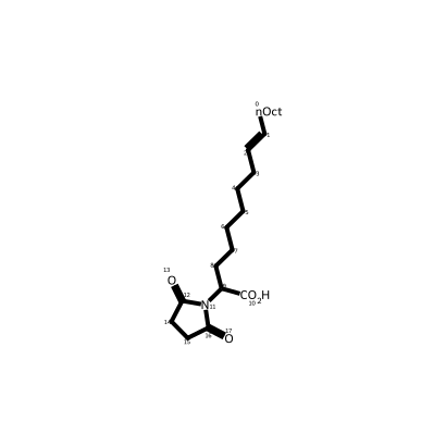 CCCCCCCCC=CCCCCCCC(C(=O)O)N1C(=O)CCC1=O